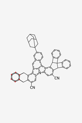 N#Cc1cc2c(c3c1C1c4ccccc4C3c3ccccc31)c1cc3cc(C45CC6CC(CC(C6)C4)C5)ccc3c3c4c5c(c(C#N)cc4n2c13)C1c2ccccc2C12c1ccccc1C52